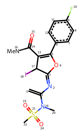 C=C(/N=C1/OC(c2ccc(F)cc2)=C(C(=O)NC)C1I)N(C)S(C)(=O)=O